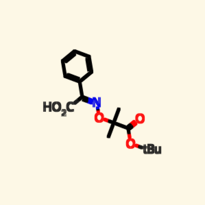 CC(C)(C)OC(=O)C(C)(C)ON=C(C(=O)O)c1ccccc1